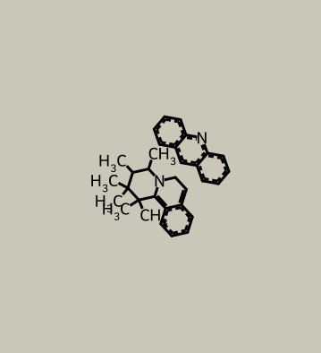 CC1C(C)C(C)(C)C(C)(C)C2=c3ccccc3=CCN21.c1ccc2nc3ccccc3cc2c1